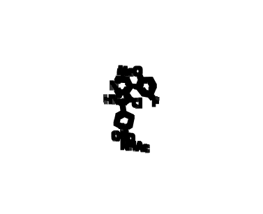 COc1ccc(F)cc1-c1ccnc2[nH]c(C3=CCN(S(=O)(=O)NC(C)=O)CC3)c(Cl)c12